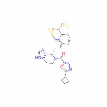 O=C(c1nnc(C2CCC2)o1)N1CCc2[nH]cnc2[C@@H]1C/C=C1/C=CC=C(C(P)P)N1N=S